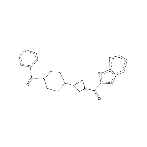 O=C(c1ccccc1)N1CCN(C2CN(C(=O)c3cc4ccccc4s3)C2)CC1